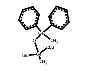 C[C](C)(C)[Ge]([CH3])([O][Ge]([CH3])([c]1ccccc1)[c]1ccccc1)[C](C)(C)C